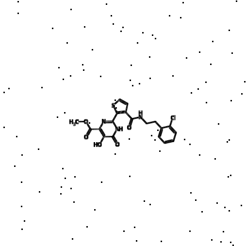 COC(=O)c1nc(-c2sccc2C(=O)NCCc2ccccc2Cl)[nH]c(=O)c1O